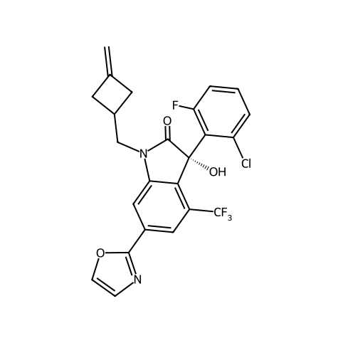 C=C1CC(CN2C(=O)[C@@](O)(c3c(F)cccc3Cl)c3c2cc(-c2ncco2)cc3C(F)(F)F)C1